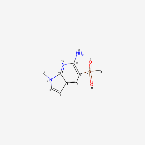 Cn1ccc2cc(S(C)(=O)=O)c(N)nc21